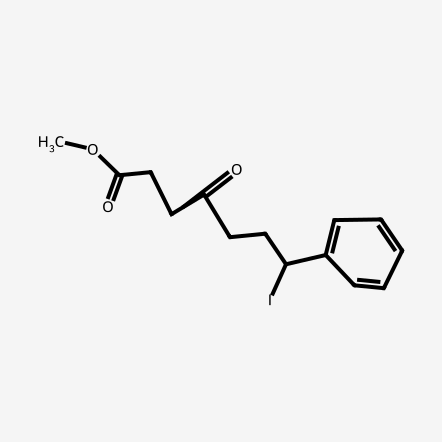 COC(=O)CCC(=O)CCC(I)c1ccccc1